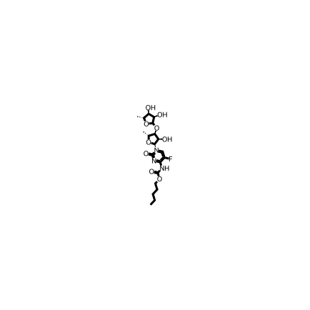 CCCCCOC(=O)Nc1nc(=O)n([C@@H]2O[C@H](C)[C@@H](OC3O[C@H](C)[C@@H](O)[C@H]3O)[C@H]2O)cc1F